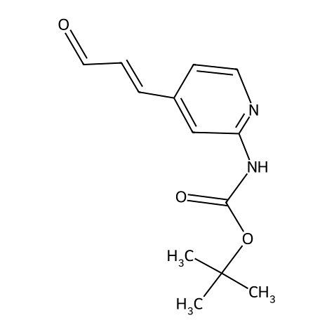 CC(C)(C)OC(=O)Nc1cc(/C=C/C=O)ccn1